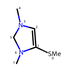 CSC1=CN(C)CN1C